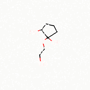 OCCOC1(O)CCCC1O